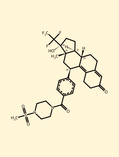 C[C@]12C[C@H](c3ccc(C(=O)N4CCN(S(C)(=O)=O)CC4)cc3)C3=C4CCC(=O)C=C4CC[C@H]3[C@@H]1CC[C@]2(O)C(F)(F)C(F)(F)F